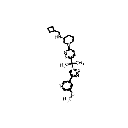 COc1cncc(-c2cn(C(C)(C)c3ccc(N4CCC[C@@H](NCC5CCC5)C4)nn3)nn2)c1